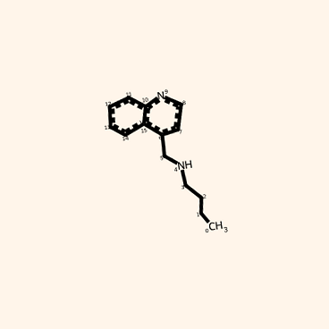 CCCCNCc1ccnc2ccccc12